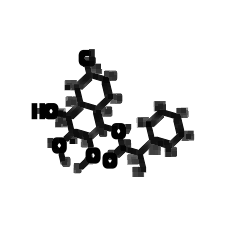 COc1c(OC)c(OC(=O)C(C)c2ccccc2)c2ccc(Cl)cc2c1O